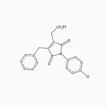 CCOC(=O)CC1=C(Cc2ccccc2)C(=O)N(c2ccc(Cl)cc2)C1=O